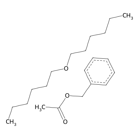 CC(=O)OCc1ccccc1.CCCCCCOCCCCCC